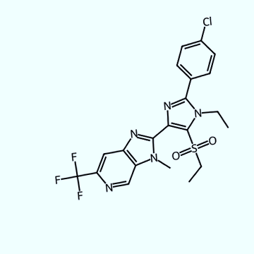 CCn1c(-c2ccc(Cl)cc2)nc(-c2nc3cc(C(F)(F)F)ncc3n2C)c1S(=O)(=O)CC